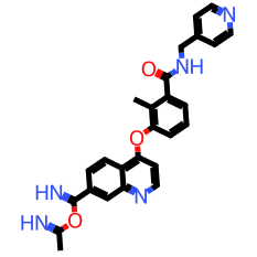 CC(=N)OC(=N)c1ccc2c(Oc3cccc(C(=O)NCc4ccncc4)c3C)ccnc2c1